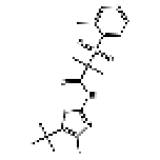 Cc1ccccc1S(=O)(=O)C(C)(C)C(=O)Nc1nc(C)c(C(C)(C)C)s1